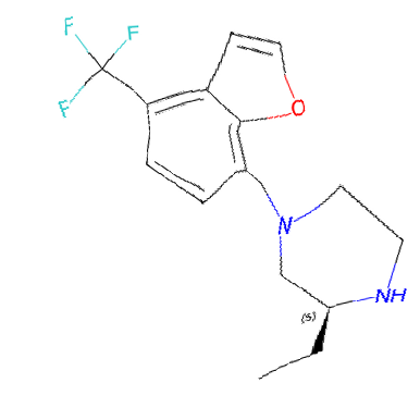 CC[C@H]1CN(c2ccc(C(F)(F)F)c3ccoc23)CCN1